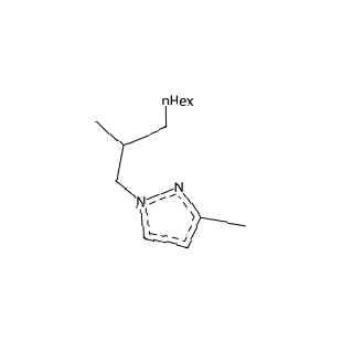 CCCCCCCC(C)Cn1ccc(C)n1